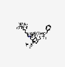 B[C@@H]1O[C@H](COC(=O)OCc2ccccc2)C(OP(=O)(O)OC)[C@@H]1C/C=C/CCCCNC(=O)NC